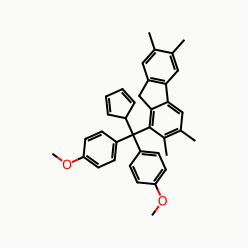 COc1ccc(C(c2ccc(OC)cc2)(c2c(C)c(C)cc3c2Cc2cc(C)c(C)cc2-3)C2C=CC=C2)cc1